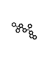 C1=Cc2c(c3c(-c4cccc(N(c5ccccc5)c5ccc6c(ccc7ccccc76)c5)c4)cccc3n2C2CCCCC2)CC1